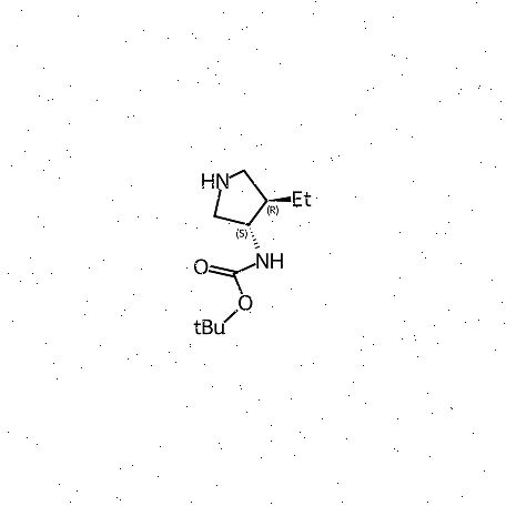 CC[C@@H]1CNC[C@H]1NC(=O)OC(C)(C)C